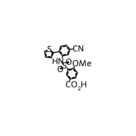 COc1ccc(C(=O)O)cc1S(=O)(=O)Nc1cc(C#N)ccc1-c1cccs1